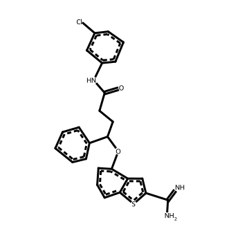 N=C(N)c1cc2c(OC(CCC(=O)Nc3cccc(Cl)c3)c3ccccc3)cccc2s1